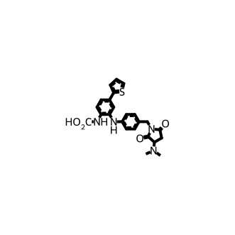 CN(C)C1CC(=O)N(Cc2ccc(Nc3cc(-c4cccs4)ccc3NC(=O)O)cc2)C1=O